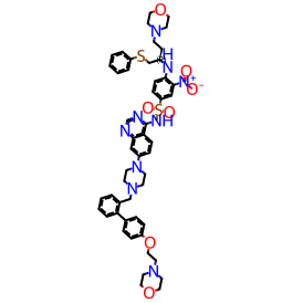 O=[N+]([O-])c1cc(S(=O)(=O)Nc2ncnc3cc(N4CCN(Cc5ccccc5-c5ccc(OCCN6CCOCC6)cc5)CC4)ccc23)ccc1N[C@H](CCN1CCOCC1)CSc1ccccc1